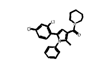 Cc1c(C(=O)N2CCCCC2)cc(-c2ccc(Cl)cc2Cl)n1-c1ccccc1